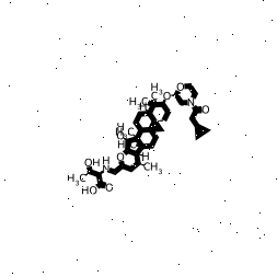 C[C@H](O)[C@@H](NCC1C[C@@H](C)[C@H]2C(O1)[C@H](O)[C@@]1(C)C3CC[C@H]4C(C)(C)[C@@H](O[C@H]5CN(C(=O)CC6CC6)CCO5)CC[C@@]45CC35CC[C@]21C)C(=O)O